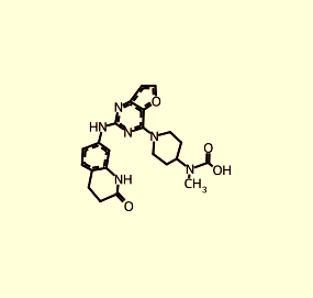 CN(C(=O)O)C1CCN(c2nc(Nc3ccc4c(c3)NC(=O)CC4)nc3ccoc23)CC1